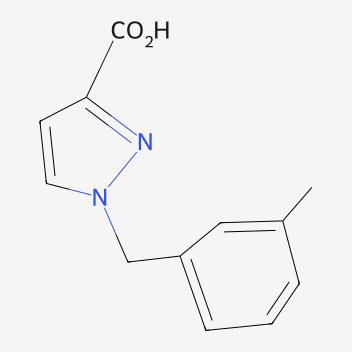 Cc1cccc(Cn2ccc(C(=O)O)n2)c1